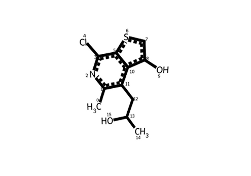 Cc1nc(Cl)c2scc(O)c2c1CC(C)O